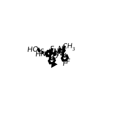 Cc1cc(N2CCC(F)(F)CC2)nc(NC(=O)c2c(F)cc(NSCCO)cc2N2CCC3(CC2)CC3)n1